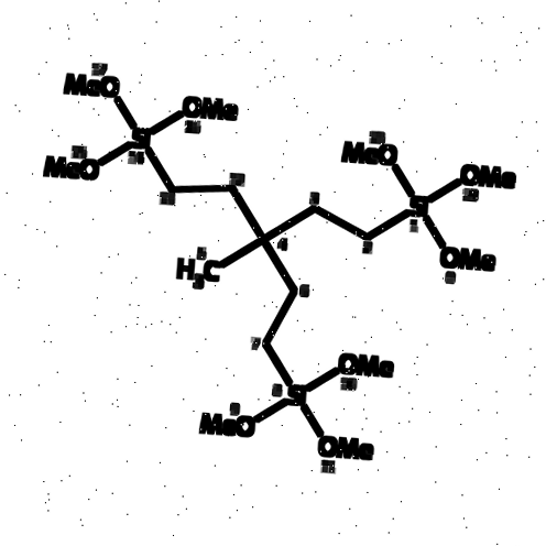 CO[Si](CCC(C)(CC[Si](OC)(OC)OC)CC[Si](OC)(OC)OC)(OC)OC